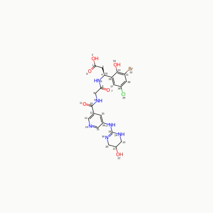 O=C(O)C[C@H](NC(=O)CNC(=O)c1cncc(NC2=NCC(O)CN2)c1)c1cc(Cl)cc(Br)c1O